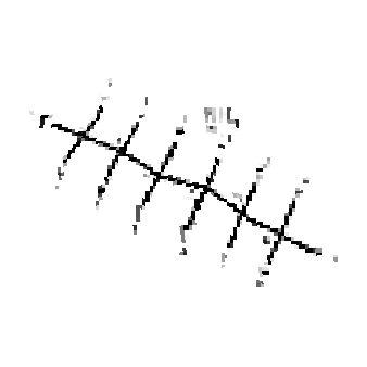 FC(F)(F)C(F)(F)C(F)(F)C(F)(F)C(F)(F)C(F)(F)F.N